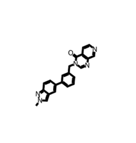 Cn1cc2cc(-c3cccc(Cn4cnc5cnccc5c4=O)c3)ccc2n1